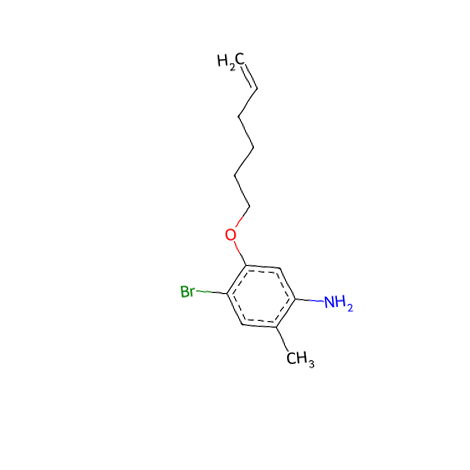 C=CCCCCOc1cc(N)c(C)cc1Br